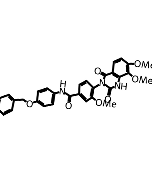 COc1cc(C(=O)Nc2ccc(OCc3ccccc3)cc2)ccc1-n1c(=O)[nH]c2c(OC)c(OC)ccc2c1=O